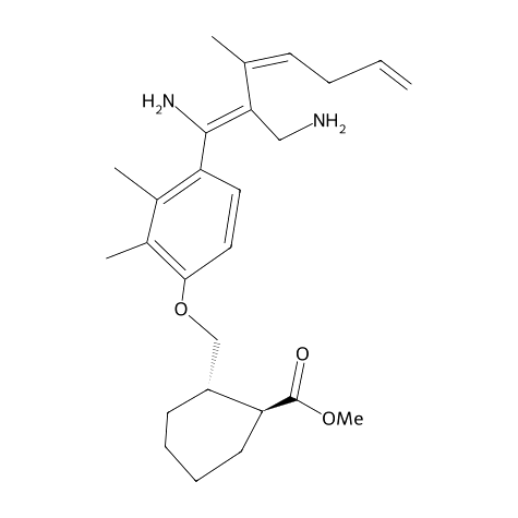 C=CC/C=C(C)\C(CN)=C(/N)c1ccc(OC[C@H]2CCCC[C@@H]2C(=O)OC)c(C)c1C